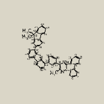 Cc1nc2c3ccccc3c3ccccc3c2nc1-c1cccc(-c2cccc3c2sc2c(-c4ccc5c(c4)C(C)(C)c4ccccc4-5)cccc23)c1